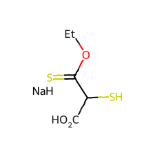 CCOC(=S)C(S)C(=O)O.[NaH]